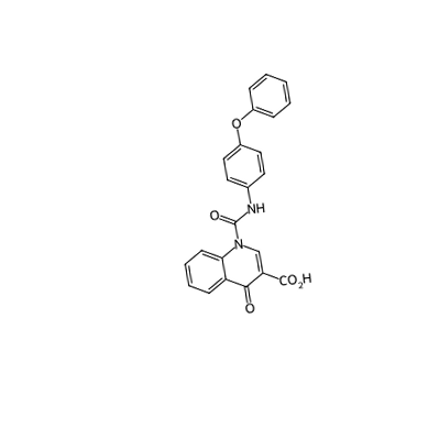 O=C(O)c1cn(C(=O)Nc2ccc(Oc3ccccc3)cc2)c2ccccc2c1=O